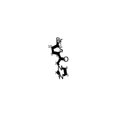 O=C(Cn1ccnc1)c1ccc(Br)s1